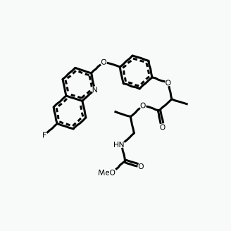 COC(=O)NCC(C)OC(=O)C(C)Oc1ccc(Oc2ccc3cc(F)ccc3n2)cc1